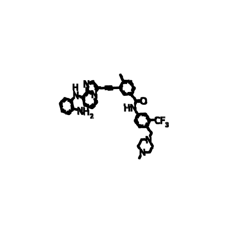 Cc1ccc(C(=O)Nc2ccc(CN3CCN(C)CC3)c(C(F)(F)F)c2)cc1C#Cc1cnc2c(Nc3ccccc3N)cccn12